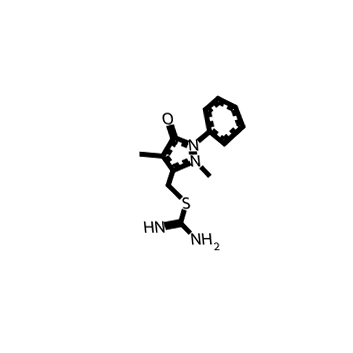 Cc1c(CSC(=N)N)n(C)n(-c2ccccc2)c1=O